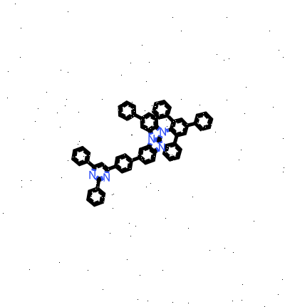 c1ccc(-c2cc(-c3ccccc3)c(-n3c4ccc(-c5ccccc5)cc4n4c5cc(-c6ccc(-c7cc(-c8ccccc8)nc(-c8ccccc8)n7)cc6)ccc5nc34)c(-c3ccccc3)c2)cc1